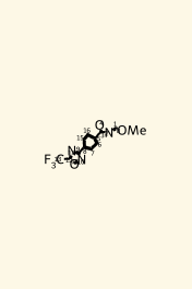 COC=NC(=O)c1ccc(-c2noc(C(F)(F)F)n2)cc1